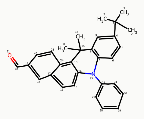 CC(C)(C)c1ccc2c(c1)C(C)(C)c1c(ccc3cc(C=O)ccc13)N2c1ccccc1